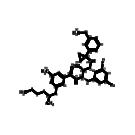 CCCCN(C)Cc1cc(C)cc(C(=O)N[C@@H](Cc2cc(F)cc(F)c2)[C@@H](O)CNC2(c3cccc(CC)c3)CC2)c1